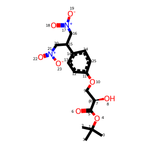 CC(C)(C)OC(=O)[C@H](O)COc1ccc(C(C[N+](=O)[O-])C[N+](=O)[O-])cc1